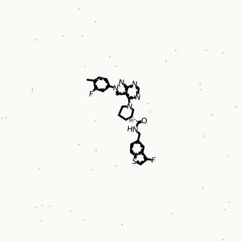 Cc1ccc(-n2cc3c(N4CCC[C@@H](C(=O)NCc5ccc6scc(F)c6c5)C4)ncnc3n2)cc1F